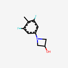 Cc1c(F)cc(N2CC(O)C2)cc1F